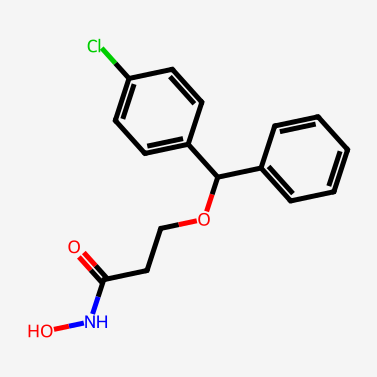 O=C(CCOC(c1ccccc1)c1ccc(Cl)cc1)NO